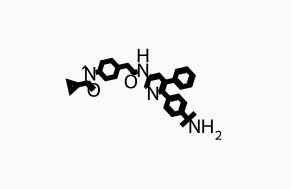 CN(C(=O)C1CC1)C1CCC(CC(=O)Nc2cnc(-c3ccc(C(C)(C)N)cc3)c(-c3ccccc3)c2)CC1